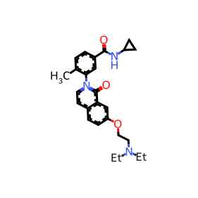 CCN(CC)CCOc1ccc2ccn(-c3cc(C(=O)NC4CC4)ccc3C)c(=O)c2c1